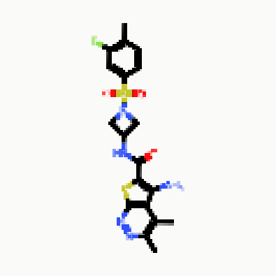 Cc1ccc(S(=O)(=O)N2CC(NC(=O)c3sc4nnc(C)c(C)c4c3N)C2)cc1F